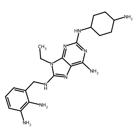 CCn1c(NCc2cccc(N)c2N)nc2c(N)nc(NC3CCC(N)CC3)nc21